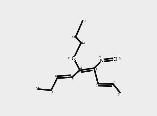 CC=C/C(N=O)=C(\C=C\CC)OCCC